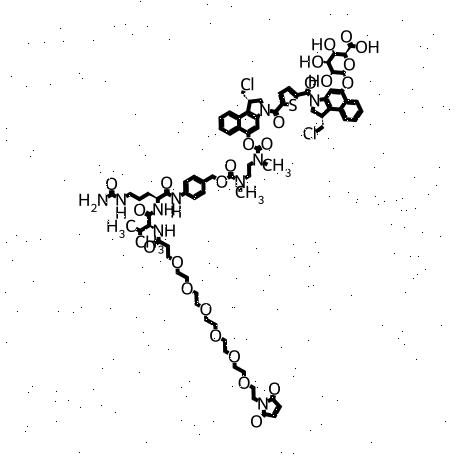 CC(C)[C@H](NC(=O)CCOCCOCCOCCOCCOCCOCCN1C(=O)C=CC1=O)C(=O)N[C@@H](CCCNC(N)=O)C(=O)Nc1ccc(COC(=O)N(C)CCN(C)C(=O)Oc2cc3c(c4ccccc24)[C@H](CCl)CN3C(=O)c2ccc(C(=O)N3C[C@@H](CCl)c4c3cc(O[C@@H]3O[C@H](C(=O)O)[C@@H](O)[C@H](O)[C@H]3O)c3ccccc43)s2)cc1